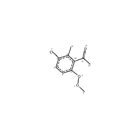 COOc1ccc(Cl)c(C)c1C(C)=O